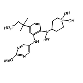 CCCN(c1ccc(C(C)(C)CC(=O)O)cc1Nc1cnc(OC)nc1)C1CCS(O)(O)CC1